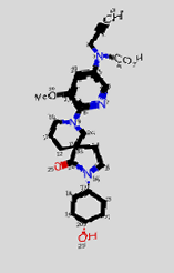 C#CCN(C(=O)O)c1cnc(N2CCC[C@]3(CCN([C@H]4CC[C@@H](O)CC4)C3=O)C2)c(OC)c1